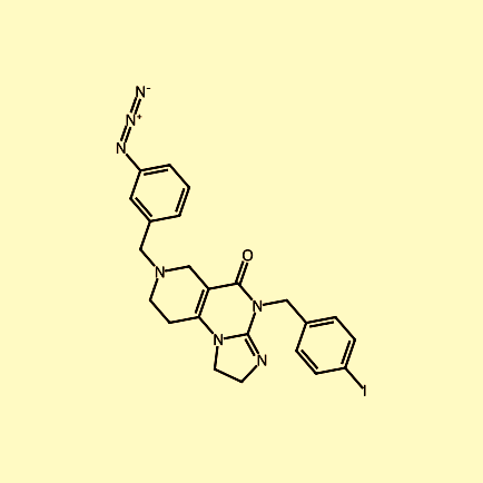 [N-]=[N+]=Nc1cccc(CN2CCC3=C(C2)C(=O)N(Cc2ccc(I)cc2)C2=NCCN23)c1